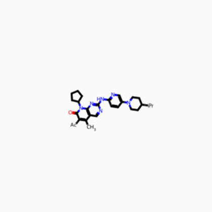 CC(=O)c1c(C)c2cnc(Nc3ccc(N4CCC(C(C)C)CC4)cn3)nc2n(C2CCCC2)c1=O